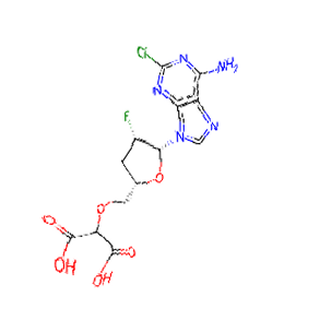 Nc1nc(Cl)nc2c1ncn2[C@@H]1O[C@H](COC(C(=O)O)C(=O)O)C[C@@H]1F